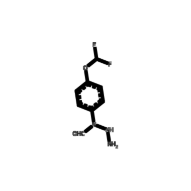 NNN(C=O)c1ccc(OC(F)F)cc1